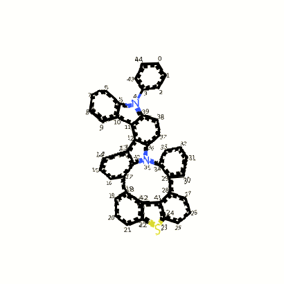 c1ccc(-n2c3ccccc3c3c4c5cccc6c7cccc8sc9cccc(c%10ccccc%10n(c4ccc32)c65)c9c87)cc1